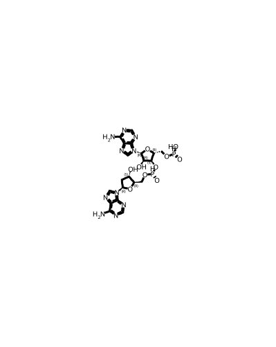 Nc1ncnc2c1ncn2[C@@H]1O[C@H](CO[PH](=O)O)[C@@H](O[PH](=O)OC[C@H]2O[C@@H](n3cnc4c(N)ncnc43)C[C@@H]2O)[C@H]1O